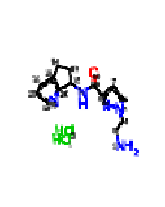 Cl.Cl.NCCn1ccc(C(=O)NC2CCc3cccnc32)n1